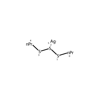 CCCSSSCCC.[Ag]